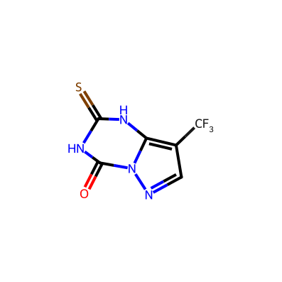 O=c1[nH]c(=S)[nH]c2c(C(F)(F)F)cnn12